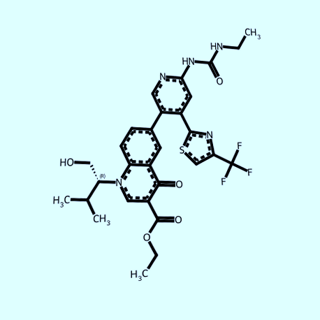 CCNC(=O)Nc1cc(-c2nc(C(F)(F)F)cs2)c(-c2ccc3c(c2)c(=O)c(C(=O)OCC)cn3[C@@H](CO)C(C)C)cn1